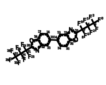 FC(F)(F)C(F)(F)C(F)(F)c1nc2cc(-c3ccc4oc(C(F)(F)C(F)(F)C(F)(F)F)nc4c3)ccc2o1